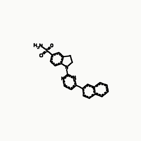 NS(=O)(=O)c1ccc2c(c1)CCN2c1nccc(-c2ccc3ccccc3c2)n1